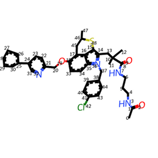 CC(=O)NCCCNC(=O)C(C)(C)Cc1c2c3c(c(OCc4ccc(-c5ccccc5)cn4)ccc3n1Cc1ccc(Cl)cc1)CC(C)S2